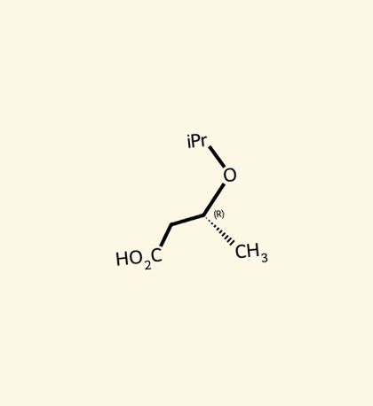 CC(C)O[C@H](C)CC(=O)O